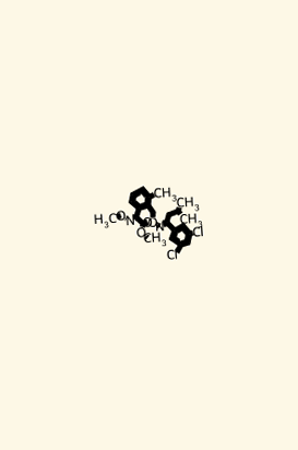 CO/N=C(/C(=O)OC)c1cccc(C)c1CO/N=C(\CC(C)C)c1cc(Cl)cc(Cl)c1